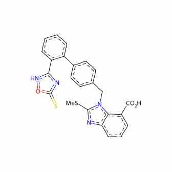 CSc1nc2cccc(C(=O)O)c2n1Cc1ccc(-c2ccccc2-c2nc(=S)o[nH]2)cc1